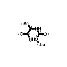 CCCCC(NC(=O)OC(C)(C)C)C([NH])=O